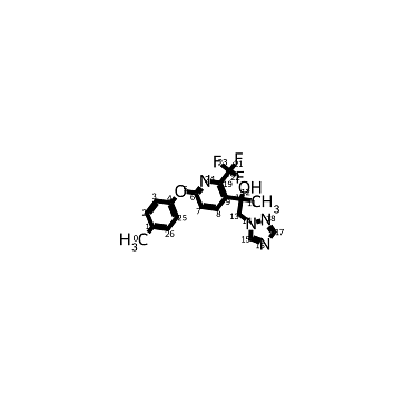 Cc1ccc(Oc2ccc(C(C)(O)Cn3cncn3)c(C(F)(F)F)n2)cc1